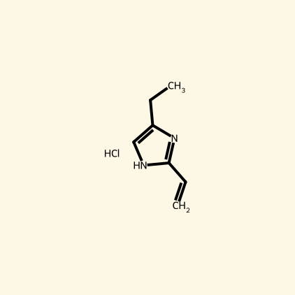 C=Cc1nc(CC)c[nH]1.Cl